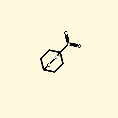 O=P(=O)C12CCC(CC1)CC2